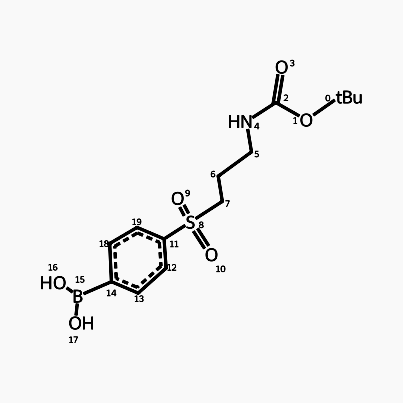 CC(C)(C)OC(=O)NCCCS(=O)(=O)c1ccc(B(O)O)cc1